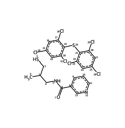 CC(CS)CNC(=O)c1cccnc1.Clc1cc(Cl)c(Sc2c(Cl)cc(Cl)cc2Cl)c(Cl)c1